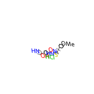 COc1ccc(C(C)(C)c2csc(NC(=O)c3ccc(C4(O)CCNCC4)cc3)n2)cc1.Cl